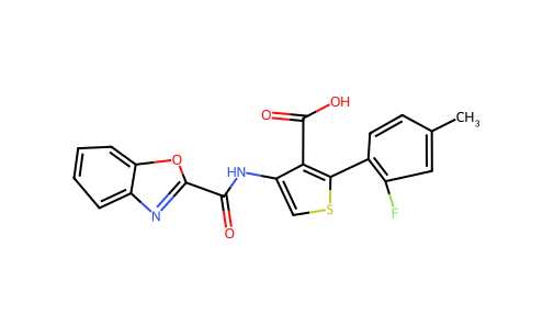 Cc1ccc(-c2scc(NC(=O)c3nc4ccccc4o3)c2C(=O)O)c(F)c1